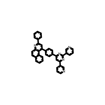 c1ccc(-c2cc(-c3ccc(-c4cc(-c5cccnc5)nc(-c5cccnc5)n4)cc3)c3c(ccc4ccccc43)n2)cc1